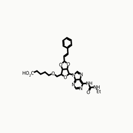 CCNC(=O)Nc1ncnc2c1ncn2C1OC(COCCCCC(=O)O)C2OC(C=Cc3ccccc3)OC21